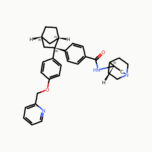 O=C(N[C@H]1CN2CCC1CC2)c1ccc([C@@]2(c3ccc(OCc4ccccn4)cc3)C[C@@H]3CC[C@H]2C3)cc1